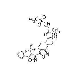 CC(O)(C(=O)NCCS(C)(=O)=O)c1ccc2c(c1)CCc1c-2noc1-c1noc(-c2ccccc2)c1C(F)(F)F